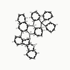 c1ccc(C2(c3ccccc3)c3ccccc3N3c4c(cccc42)B2c4c(cc5ccccc5c43)-c3cccc4c5c6ccccc6oc5n2c34)cc1